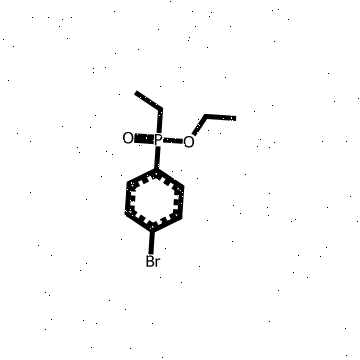 CCOP(=O)(CC)c1ccc(Br)cc1